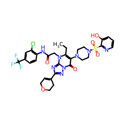 CCc1c(N2CCN(S(=O)(=O)c3ncccc3O)CC2)c(=O)n2nc(C3=CCOCC3)nc2n1CC(=O)Nc1ccc(C(F)(F)F)cc1Cl